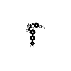 COC(=O)c1nnn(Cc2ccc(C)cc2)c1Oc1ccc(-c2ccc(C3CC(F)(F)C3)cc2)cc1